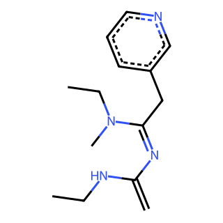 C=C(/N=C(/Cc1cccnc1)N(C)CC)NCC